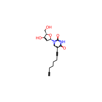 C#CCCCCC#Cc1cn([C@H]2C=C(O)[C@@H](CO)O2)c(=O)[nH]c1=O